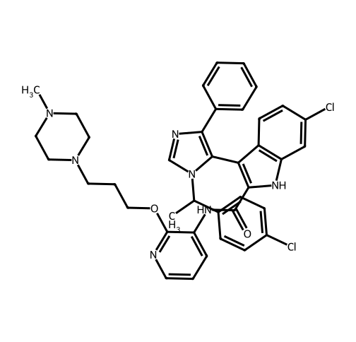 CC(c1ccc(Cl)cc1)n1cnc(-c2ccccc2)c1-c1c(C(=O)Nc2cccnc2OCCCN2CCN(C)CC2)[nH]c2cc(Cl)ccc12